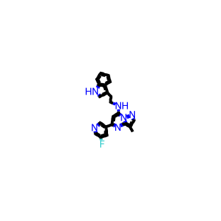 Cc1cnn2c(NCCc3c[nH]c4ccccc34)cc(-c3cncc(F)c3)nc12